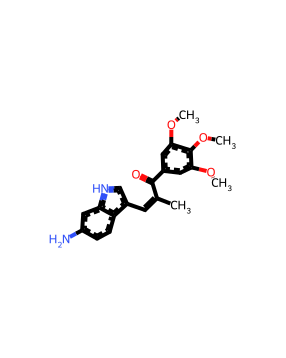 COc1cc(C(=O)C(C)=Cc2c[nH]c3cc(N)ccc23)cc(OC)c1OC